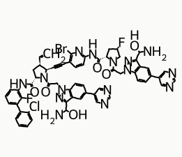 C=C[C@@H]1C[C@@H](C(=O)Nc2cccc(-c3ccccc3Cl)c2F)N(C(=O)Cn2nc(C(N)O)c3cc(-c4cncnc4)ccc32)[C@@H]1C#Cc1ccc(NC(=O)[C@@H]2C[C@@H](F)CN2C(=O)Cn2nc(C(N)O)c3cc(-c4cncnc4)ccc32)nc1Br